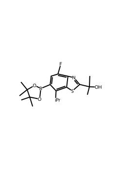 CC(C)c1c(B2OC(C)(C)C(C)(C)O2)cc(F)c2nc(C(C)(C)O)sc12